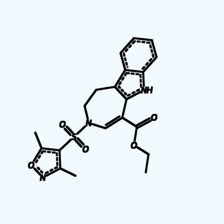 CCOC(=O)C1=CN(S(=O)(=O)c2c(C)noc2C)CCc2c1[nH]c1ccccc21